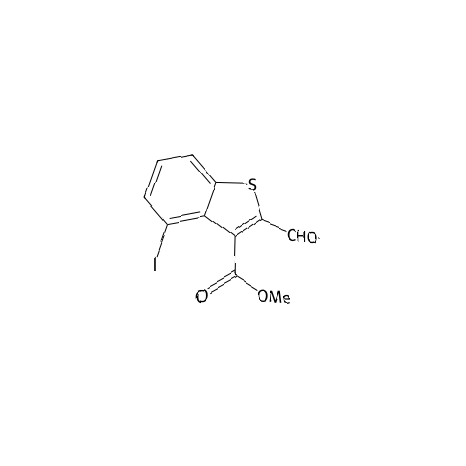 COC(=O)c1c([C]=O)sc2cccc(I)c12